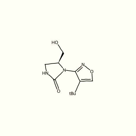 CC(C)(C)c1conc1N1C(=O)NC[C@H]1CO